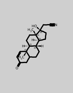 C[C@]12C=CC(=O)CC1CC[C@@H]1[C@@H]2CC[C@@]2(C)[C@H]1CC[C@@]2(O)CC#N